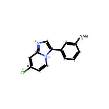 CNc1cccc(-c2cnc3cc(Cl)ccn23)c1